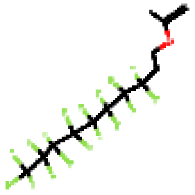 C=C(C)OCCC(F)(F)C(F)(F)C(F)(F)C(F)(F)C(F)(F)C(F)(F)C(F)(F)C(F)(F)F